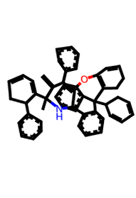 C=C1C(c2ccccc2)=CC(c2ccccc2C2(C3C=CC=CC3)C3=C(C=CCC3)Oc3ccccc32)NC1(C)C1=CC=CCC1c1ccccc1